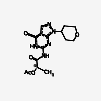 CC(=O)O[C@@H](C)C(=O)Nc1nc2c(cnn2C2CCOCC2)c(=O)[nH]1